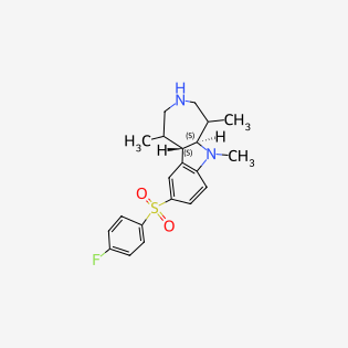 CC1CNCC(C)[C@@H]2[C@@H]1c1cc(S(=O)(=O)c3ccc(F)cc3)ccc1N2C